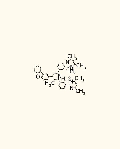 CC1=CC(C)=N[C@@](C)(c2cccc(C3=CC(c4ccc5oc6c(c5c4)CCC=C6)C(C)C(c4cccc(C5N=C(C)C=C(C)N5C)c4)=N3)c2)N1